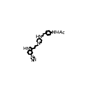 CC(=O)Nc1ccc(CCNC2CCN(CCCc3c[nH]c4ccc(-n5cnnc5)cc34)CC2)cc1